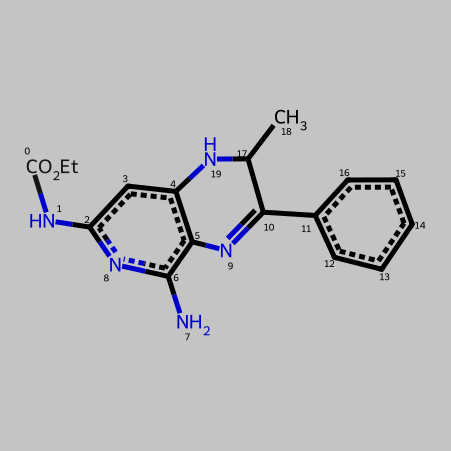 CCOC(=O)Nc1cc2c(c(N)n1)N=C(c1ccccc1)C(C)N2